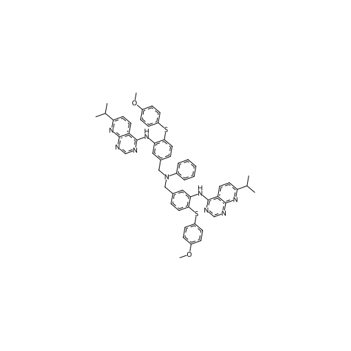 COc1ccc(Sc2ccc(CN(Cc3ccc(Sc4ccc(OC)cc4)c(Nc4ncnc5nc(C(C)C)ccc45)c3)c3ccccc3)cc2Nc2ncnc3nc(C(C)C)ccc23)cc1